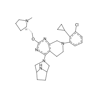 CN1CCC[C@H]1COc1nc2c(c(N3CC4CCC(C3)N4)n1)CCN(c1cccc(Cl)c1C1CC1)C2